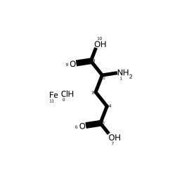 Cl.NC(CCC(=O)O)C(=O)O.[Fe]